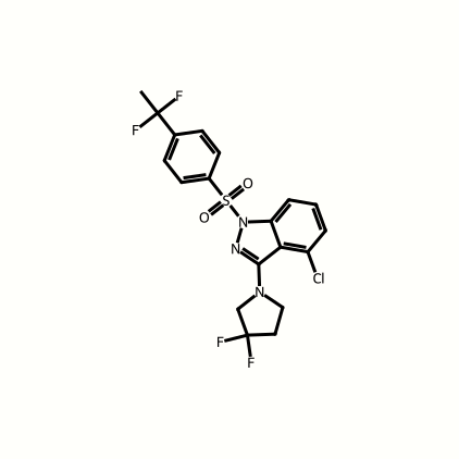 CC(F)(F)c1ccc(S(=O)(=O)n2nc(N3CCC(F)(F)C3)c3c(Cl)cccc32)cc1